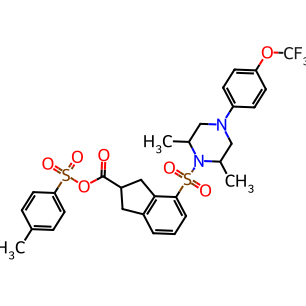 Cc1ccc(S(=O)(=O)OC(=O)C2Cc3cccc(S(=O)(=O)N4C(C)CN(c5ccc(OC(F)(F)F)cc5)CC4C)c3C2)cc1